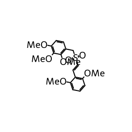 COc1cccc(OC)c1/C=C/S(=O)(=O)Cc1ccc(OC)c(OC)c1OC